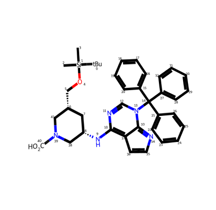 CC(C)(C)[Si](C)(C)OC[C@@H]1C[C@H](Nc2ncn(C(c3ccccc3)(c3ccccc3)c3ccccc3)c3nccc2-3)CN(C(=O)O)C1